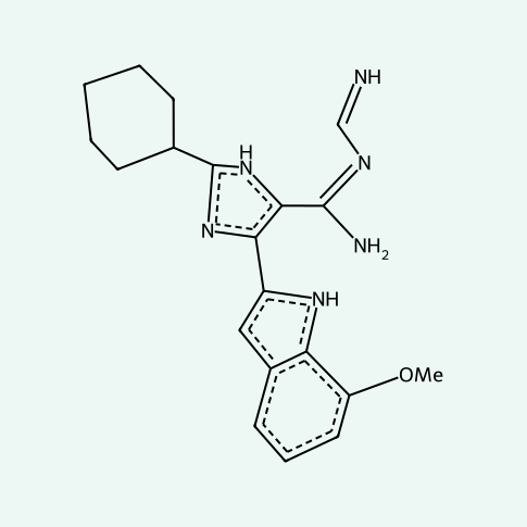 COc1cccc2cc(-c3nc(C4CCCCC4)[nH]c3/C(N)=N\C=N)[nH]c12